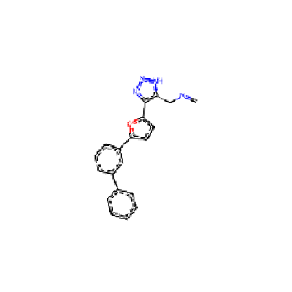 C=NCc1[nH]nnc1-c1ccc(-c2cccc(-c3ccccc3)c2)o1